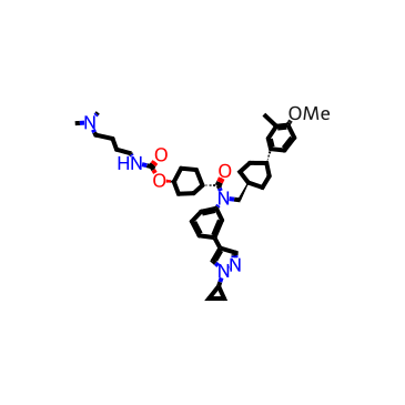 COc1ccc([C@H]2CC[C@H](CN(c3cccc(-c4cnn(C5CC5)c4)c3)C(=O)[C@H]3CC[C@H](OC(=O)NCCCCN(C)C)CC3)CC2)cc1C